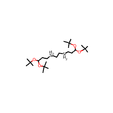 CC(C)(C)OC(CC[SiH2]CC[SiH2]CCC(OC(C)(C)C)OC(C)(C)C)OC(C)(C)C